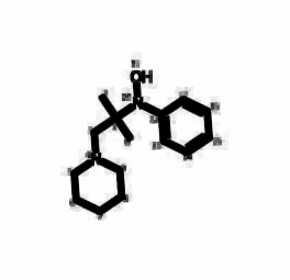 CC(C)(CN1CCCCC1)N(O)c1ccccc1